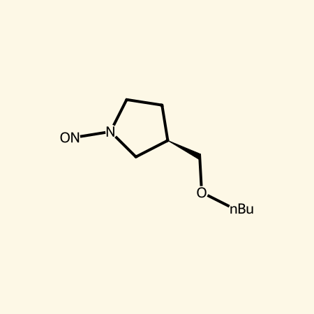 CCCCOC[C@@H]1CCN(N=O)C1